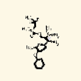 Cc1nc(/C(N)=C(\COC(=O)N(C)CC(C)(F)F)N(C)N)ccc1OC1CCCCC1